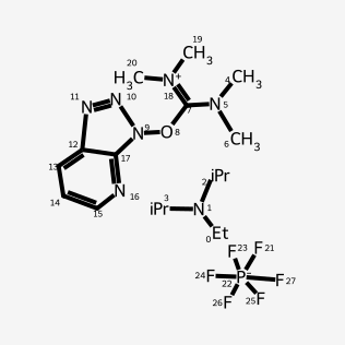 CCN(C(C)C)C(C)C.CN(C)C(On1nnc2cccnc21)=[N+](C)C.F[P-](F)(F)(F)(F)F